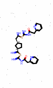 N=C(C[C@H]1CC[C@@H](C(=N)SC(=N)NC(=O)Cc2ccccn2)C1)SC(=N)NC(=O)Cc1ccccn1